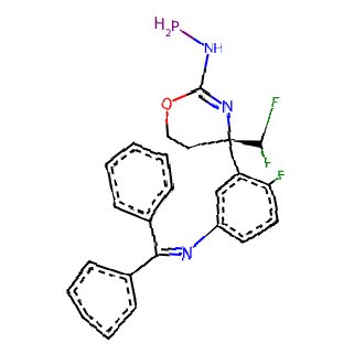 Fc1ccc(N=C(c2ccccc2)c2ccccc2)cc1[C@]1(C(F)F)CCOC(NP)=N1